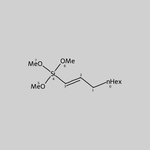 CCCCCCCC=C[Si](OC)(OC)OC